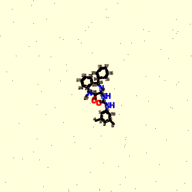 Cc1cc(C)cc(NC(=O)NC2N=C(c3ccccc3)c3ccccc3N(C)C2=O)c1